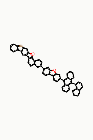 c1ccc2c(-c3c4ccccc4c(-c4ccc5c(c4)oc4cc(-c6ccc7c(ccc8c9cc%10c(cc9oc78)sc7ccccc7%10)c6)ccc45)c4ccccc34)cccc2c1